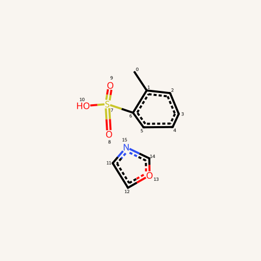 Cc1ccccc1S(=O)(=O)O.c1cocn1